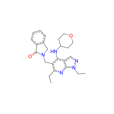 CCc1nc2c(cnn2CC)c(NC2CCOCC2)c1CN1Cc2ccccc2C1=O